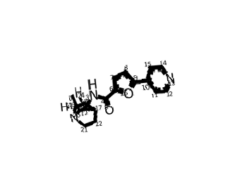 C[C@H]1[C@H](NC(=O)c2ccc(-c3ccncc3)o2)C2CCN1CC2